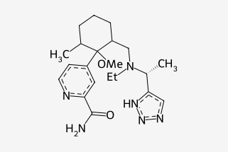 CCN(CC1CCCC(C)C1(OC)c1ccnc(C(N)=O)c1)[C@H](C)c1cnn[nH]1